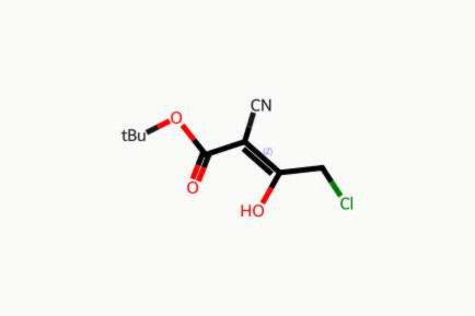 CC(C)(C)OC(=O)/C(C#N)=C(\O)CCl